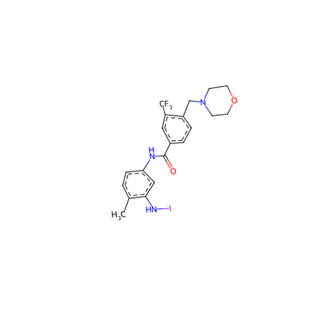 Cc1ccc(NC(=O)c2ccc(CN3CCOCC3)c(C(F)(F)F)c2)cc1NI